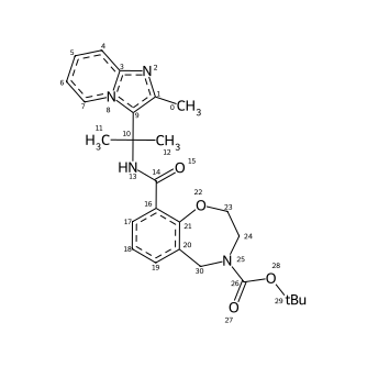 Cc1nc2ccccn2c1C(C)(C)NC(=O)c1cccc2c1OCCN(C(=O)OC(C)(C)C)C2